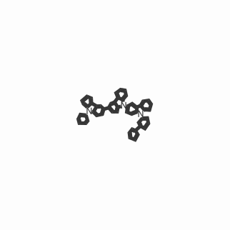 c1ccc(-c2cccc(-n3c4ccccc4c4cc(-n5c6ccccc6c6cc(-c7ccc8c(c7)c7ccccc7n8-c7ccccc7)ccc65)ccc43)c2)cc1